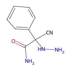 N#CC(NN)(C(N)=O)c1ccccc1